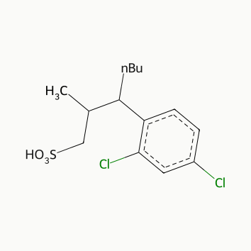 CCCCC(c1ccc(Cl)cc1Cl)C(C)CS(=O)(=O)O